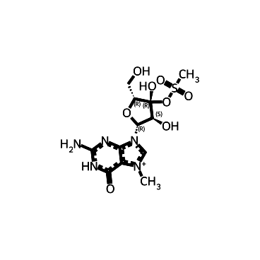 C[n+]1cn([C@@H]2O[C@H](CO)[C@](O)(OS(C)(=O)=O)[C@H]2O)c2nc(N)[nH]c(=O)c21